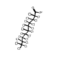 O=C(O)C(Cl)(Cl)C(Cl)(Cl)C(Cl)(Cl)C(Cl)(Cl)C(Cl)(Cl)C(Cl)(Cl)C(Cl)(Cl)C(Cl)(Cl)C(Cl)(Cl)Cl